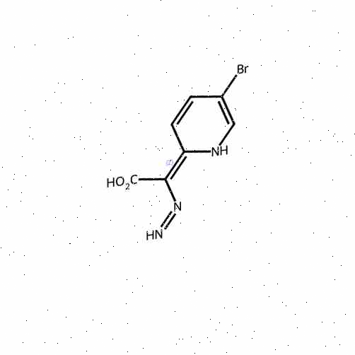 N=N/C(C(=O)O)=C1/C=CC(Br)=CN1